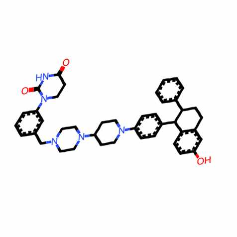 O=C1CCN(c2cccc(CN3CCN(C4CCN(c5ccc(C6c7ccc(O)cc7CCC6c6ccccc6)cc5)CC4)CC3)c2)C(=O)N1